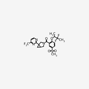 CC(Oc1ccc(S(C)(=O)=O)cc1C(=O)N1CC2CC2(c2nccc(C(F)(F)F)n2)C1)C(C)(F)F